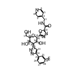 O=C(NCc1ccncc1)c1nnc([C@@H]2O[C@H](CO)[C@H](O)[C@H](n3cc(-c4cccc(F)c4)nn3)[C@H]2O)o1